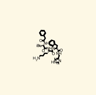 CC[C@H](C)[C@H](NC(=O)Cc1ccccc1)C(=O)N[C@@H](CCCCN)C(=O)N1c2ccccc2C[C@H]1C(=O)NCc1nn[nH]n1